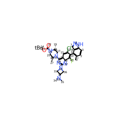 Cc1ccc2[nH]ncc2c1-c1c(Cl)cc2c(N3C[C@@H](C)N(C(=O)OC(C)(C)C)C[C@@H]3C)nc(N3CC(N(C)C)C3)nc2c1F